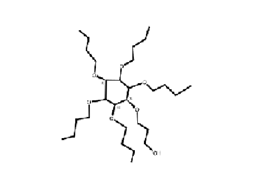 CCCCOC1C(OCCCC)[C@@H](OCCCO)[C@@H](OCCCC)C(OCCCC)[C@H]1OCCCC